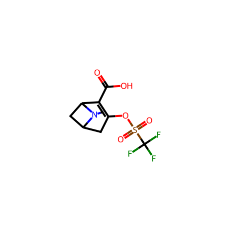 CN1C2CC(OS(=O)(=O)C(F)(F)F)=C(C(=O)O)C1C2